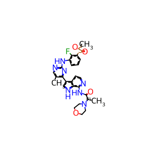 Cc1cnc(Nc2cccc(S(C)(=O)=O)c2F)nc1-c1c[nH]c2c(NC(=O)[C@@H](C)N3CCOCC3)nccc12